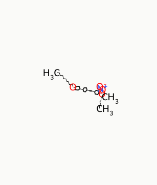 CCCCCCCCCCOc1ccc(-c2ccc(C#Cc3ccc(O[C@H](C)CCCCCC)c([N+](=O)[O-])c3)cc2)cc1